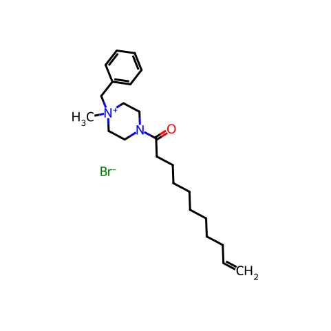 C=CCCCCCCCCC(=O)N1CC[N+](C)(Cc2ccccc2)CC1.[Br-]